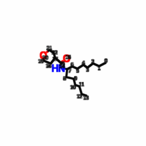 CCCCCCCC(CCCCCC)NC(=O)C1CCOCC1